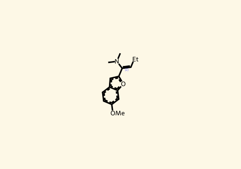 CC/C=C(/c1cc2ccc(OC)cc2o1)N(C)C